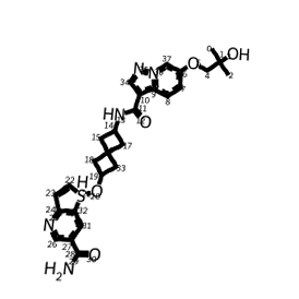 CC(C)(O)COc1ccc2c(C(=O)NC3CC4(C3)CC(O[SH]3C=Cc5ncc(C(N)=O)cc53)C4)cnn2c1